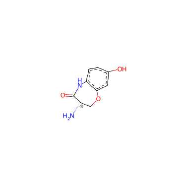 N[C@H]1COc2cc(O)ccc2NC1=O